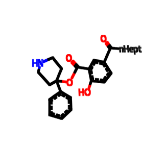 CCCCCCCC(=O)c1ccc(O)c(C(=O)OC2(c3ccccc3)CCNCC2)c1